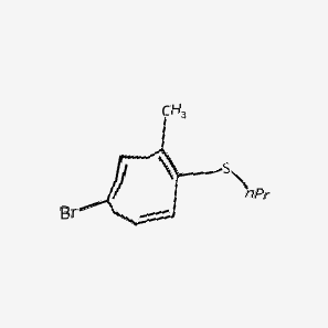 CCCSc1ccc(Br)cc1C